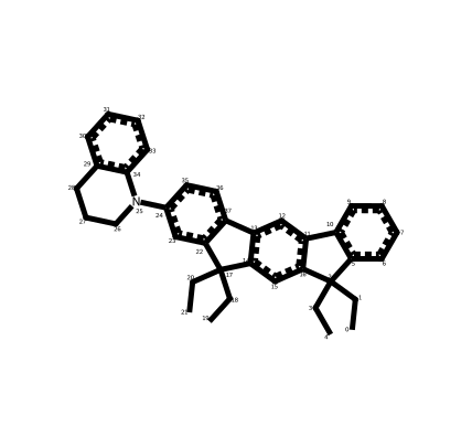 CCC1(CC)c2ccccc2-c2cc3c(cc21)C(CC)(CC)c1cc(N2CCCc4ccccc42)ccc1-3